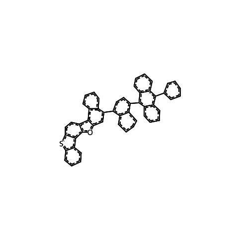 c1ccc(-c2c3ccccc3c(-c3ccc(-c4cc5oc6c(ccc7sc8ccccc8c76)c5c5ccccc45)c4ccccc34)c3ccccc23)cc1